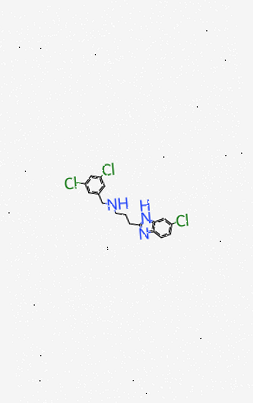 Clc1cc(Cl)cc(CNCCCc2nc3ccc(Cl)cc3[nH]2)c1